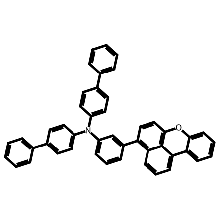 c1ccc(-c2ccc(N(c3ccc(-c4ccccc4)cc3)c3cccc(-c4ccc5c6c(cccc46)-c4ccccc4O5)c3)cc2)cc1